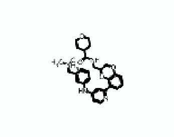 CN(C)Cc1cccc(Nc2ccnc(-c3cccc4c3OC(CNC(=O)C3CCOCC3)CO4)c2)c1